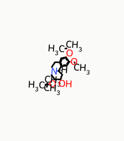 COc1cc2c(cc1OC(C)C)CCN1C[C@@H](OC(C)(C)C)[C@H](O)C[C@H]21